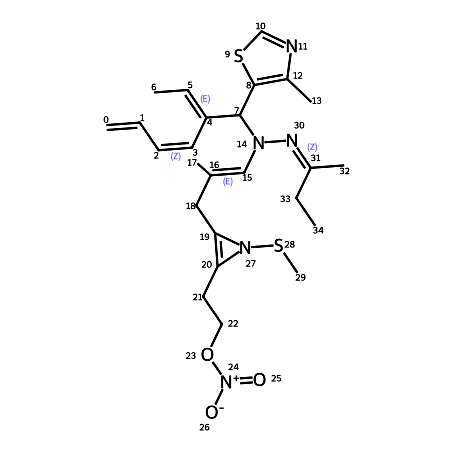 C=C/C=C\C(=C/C)C(c1scnc1C)N(/C=C(\C)CC1=C(CCO[N+](=O)[O-])N1SC)/N=C(/C)CC